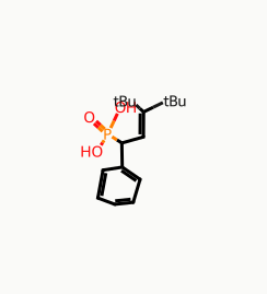 CC(C)(C)C(=CC(c1ccccc1)P(=O)(O)O)C(C)(C)C